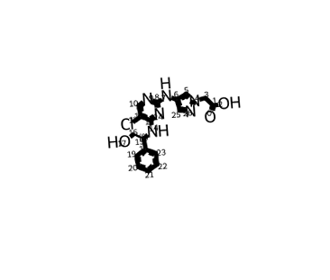 O=C(O)Cn1cc(Nc2ncc(Cl)c(N[C@H](CO)c3ccccc3)n2)cn1